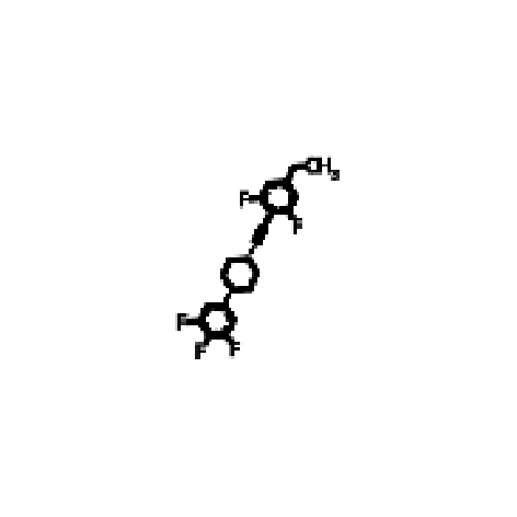 CCc1cc(F)c(C#C[C@H]2CC[C@H](c3cc(F)c(F)c(F)c3)CC2)c(F)c1